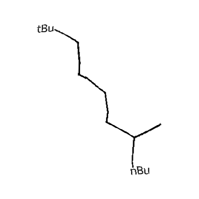 [CH2]CCCC(C)CCCCC(C)(C)C